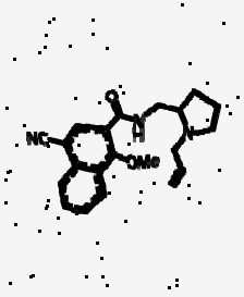 C=CCN1CCCC1CNC(=O)c1cc(C#N)c2ccccc2c1OC